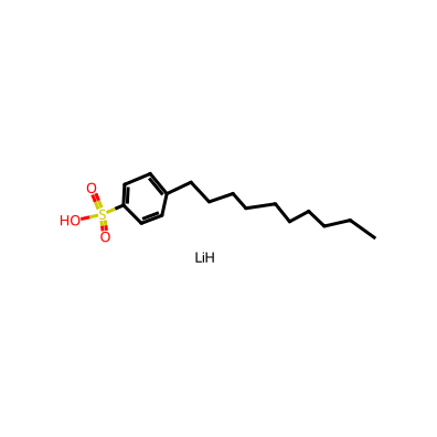 CCCCCCCCCCc1ccc(S(=O)(=O)O)cc1.[LiH]